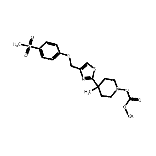 CC(C)(C)OC(=O)ON1CCC(C)(c2nc(COc3ccc(S(C)(=O)=O)cc3)cs2)CC1